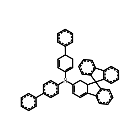 C1=CC(c2ccccc2)CC=C1N(C1=CC=C2c3ccccc3C3(c4ccccc4-c4ccccc43)C2C1)c1ccc(-c2ccccc2)cc1